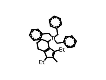 CCC1=C(C)C(CC)C2=C1[CH]([Ti]([CH2]c1ccccc1)([CH2]c1ccccc1)[CH2]c1ccccc1)CCC2